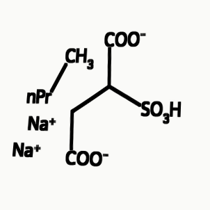 CCCC.O=C([O-])CC(C(=O)[O-])S(=O)(=O)O.[Na+].[Na+]